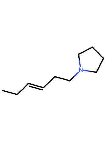 CC/C=C/CCN1CCCC1